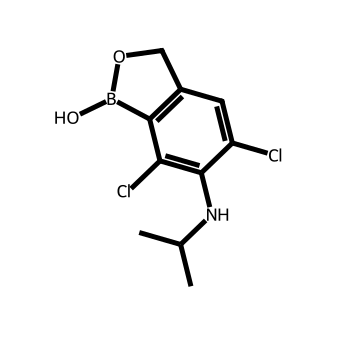 CC(C)Nc1c(Cl)cc2c(c1Cl)B(O)OC2